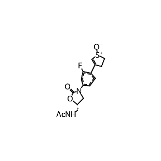 CC(=O)NC[C@H]1CN(c2ccc(C3=C[S+]([O-])CC3)c(F)c2)C(=O)O1